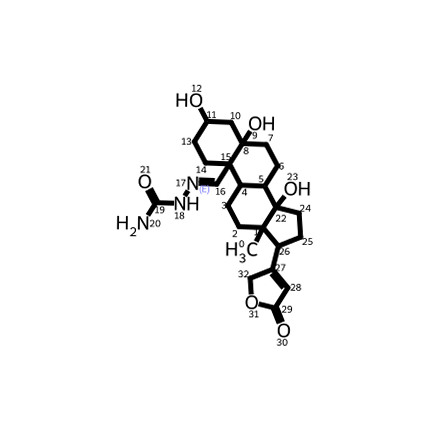 CC12CCC3C(CCC4(O)CC(O)CCC34/C=N/NC(N)=O)C1(O)CCC2C1=CC(=O)OC1